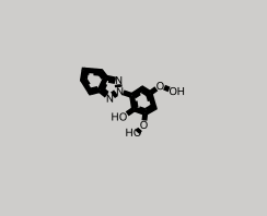 OOc1cc(OO)c(O)c(-n2nc3ccccc3n2)c1